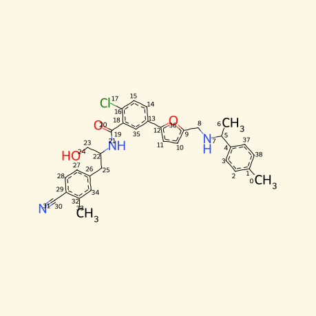 Cc1ccc(C(C)NCc2ccc(-c3ccc(Cl)c(C(=O)NC(CO)Cc4ccc(C#N)c(C)c4)c3)o2)cc1